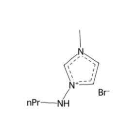 CCCN[n+]1ccn(C)c1.[Br-]